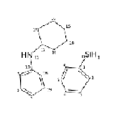 [SiH3]c1ccccc1.c1ccc(NC2CCCCC2)cc1